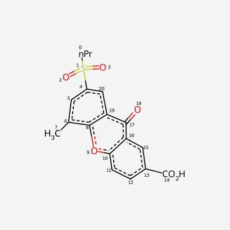 CCCS(=O)(=O)c1cc(C)c2oc3ccc(C(=O)O)cc3c(=O)c2c1